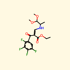 CCOC(=O)C(=CNC(C)C(OC)OC)C(=O)c1cc(F)c(F)c(F)c1F